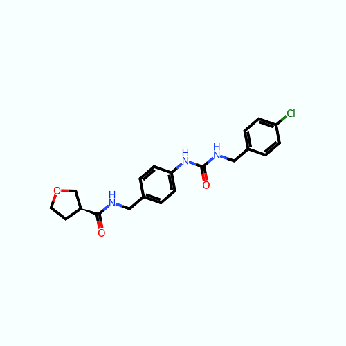 O=C(NCc1ccc(Cl)cc1)Nc1ccc(CNC(=O)[C@H]2CCOC2)cc1